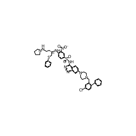 O=[N+]([O-])c1cc(S(=O)(=O)Nc2ncnc3cc(N4CCN(Cc5cc(Cl)ccc5-c5ccccc5)CC4)ccc23)ccc1N[C@H](CCNN1CCCC1)CSc1ccccc1